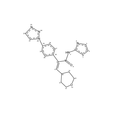 O=C(Nc1nccs1)C(=CC1CCOCC1)c1ccc(-n2ccnn2)cc1